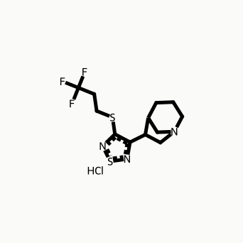 Cl.FC(F)(F)CCSc1nsnc1C1CN2CCCC1C2